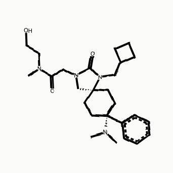 CN(CCO)C(=O)CN1C[C@]2(CC[C@@](c3ccccc3)(N(C)C)CC2)N(CC2CCC2)C1=O